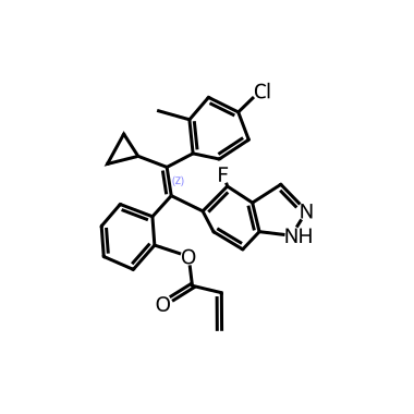 C=CC(=O)Oc1ccccc1/C(=C(/c1ccc(Cl)cc1C)C1CC1)c1ccc2[nH]ncc2c1F